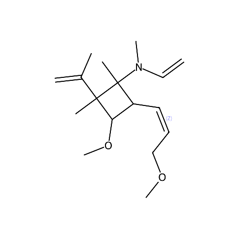 C=CN(C)C1(C)C(/C=C\COC)C(OC)C1(C)C(=C)C